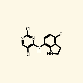 Fc1ccc(Nc2nc(Cl)ncc2Cl)c2c1CCN2